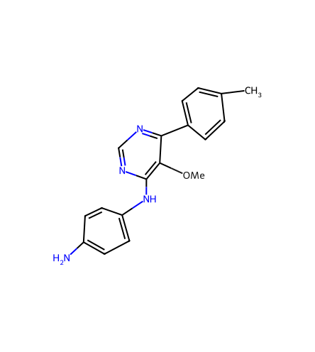 COc1c(Nc2ccc(N)cc2)ncnc1-c1ccc(C)cc1